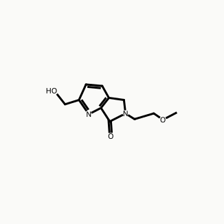 COCCN1Cc2ccc(CO)nc2C1=O